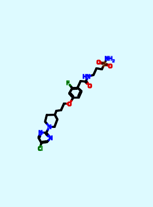 NS(=O)(=O)CCCNC(=O)Cc1ccc(OCCCC2CCN(c3ncc(Cl)cn3)CC2)cc1F